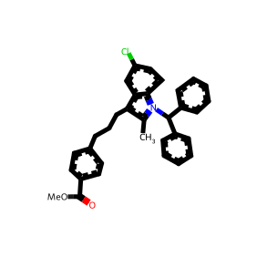 COC(=O)c1ccc(CCCc2c(C)n(C(c3ccccc3)c3ccccc3)c3ccc(Cl)cc23)cc1